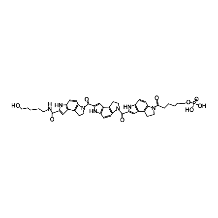 O=C(NCCCCCO)c1cc2c3c(ccc2[nH]1)N(C(=O)c1cc2c4c(ccc2[nH]1)N(C(=O)c1cc2c5c(ccc2[nH]1)N(C(=O)CCCCCOP(=O)(O)O)CC5)CC4)CC3